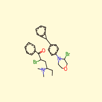 BrC1COCCN1c1ccc(C2c3ccccc32)cc1.CCC(CC(Br)C(=O)c1ccccc1)N(C)C